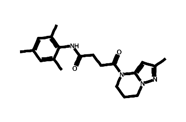 Cc1cc(C)c(NC(=O)CCC(=O)N2CCCn3nc(C)cc32)c(C)c1